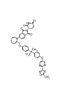 Cc1nc(-c2ncc(Oc3ccc(C(C)(C)c4ccc(OCC5=CC=CC=CN5c5ccc6c(c5)C(=O)N([C@H]5CCC(=O)NC5=O)C6=O)cc4)cc3)cn2)no1